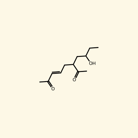 CCC(O)CC(C/C=C/C(C)=O)C(C)=O